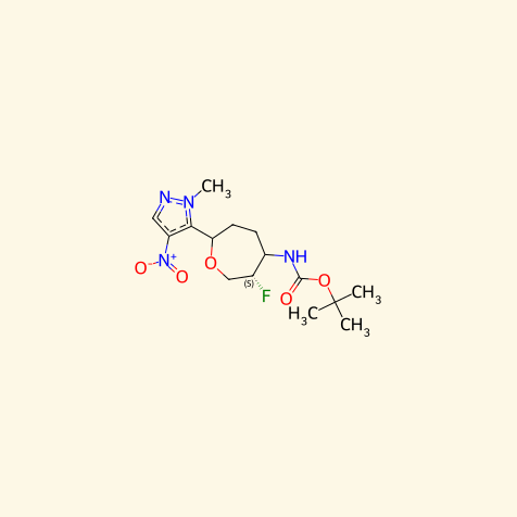 Cn1ncc([N+](=O)[O-])c1C1CCC(NC(=O)OC(C)(C)C)[C@H](F)CO1